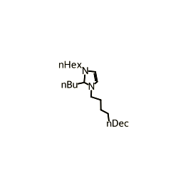 CCCCCCCCCCCCCCN1C=CN(CCCCCC)C1CCCC